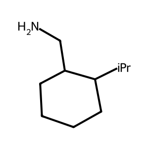 CC(C)C1CCCCC1CN